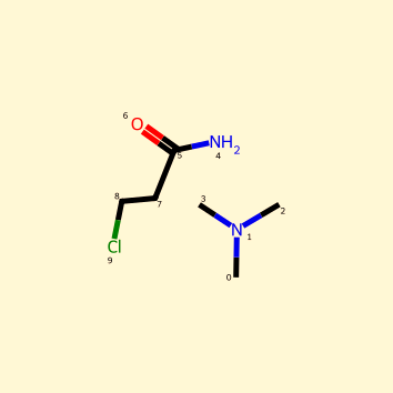 CN(C)C.NC(=O)CCCl